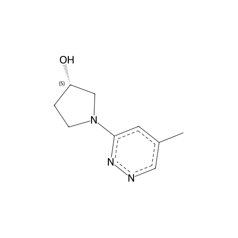 Cc1cnnc(N2CC[C@H](O)C2)c1